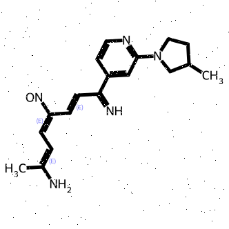 C\C(N)=C/C=C(\C=C\C(=N)c1ccnc(N2CCC(C)C2)c1)N=O